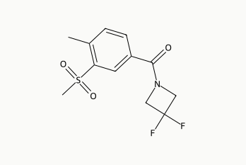 Cc1ccc(C(=O)N2CC(F)(F)C2)cc1S(C)(=O)=O